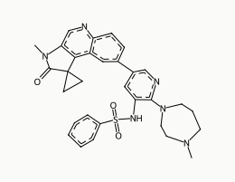 CN1CCCN(c2ncc(-c3ccc4ncc5c(c4c3)C3(CC3)C(=O)N5C)cc2NS(=O)(=O)c2ccccc2)CC1